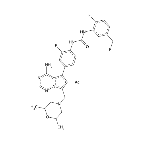 CC(=O)c1c(-c2ccc(NC(=O)Nc3cc(CF)ccc3F)c(F)c2)c2c(N)ncnn2c1CN1CC(C)OC(C)C1